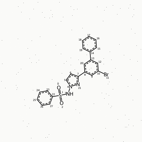 O=S(=O)(Nn1ccc(-c2cc(Br)cc(-c3ccccc3)c2)n1)c1ccccc1